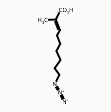 CC(=CCCCCCCN=[N+]=[N-])C(=O)O